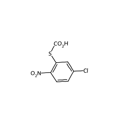 O=C(O)Sc1cc(Cl)ccc1[N+](=O)[O-]